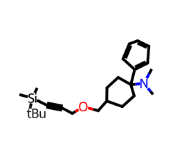 CN(C)C1(c2ccccc2)CCC(COCC#C[Si](C)(C)C(C)(C)C)CC1